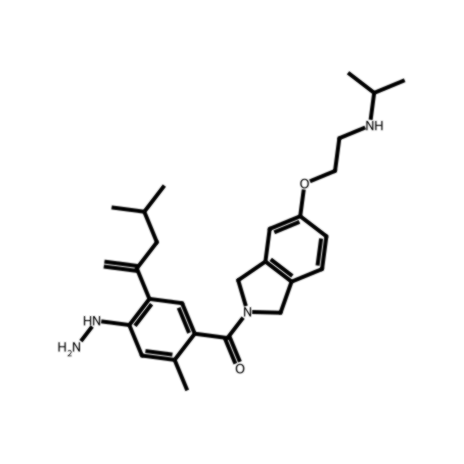 C=C(CC(C)C)c1cc(C(=O)N2Cc3ccc(OCCNC(C)C)cc3C2)c(C)cc1NN